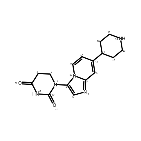 O=C1CCN(c2cnc3cc(C4CCNCC4)ccn23)C(=O)N1